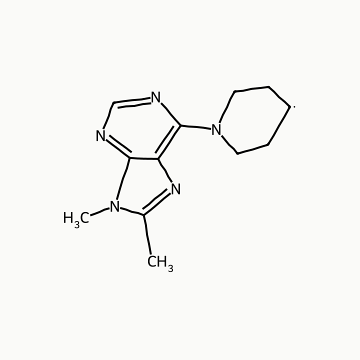 Cc1nc2c(N3CC[CH]CC3)ncnc2n1C